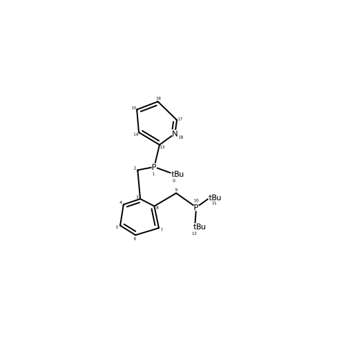 CC(C)(C)P(Cc1ccccc1CP(C(C)(C)C)C(C)(C)C)c1ccccn1